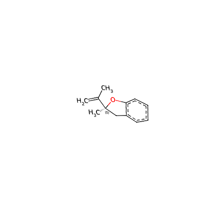 C=C(C)[C@]1(C)Cc2ccccc2O1